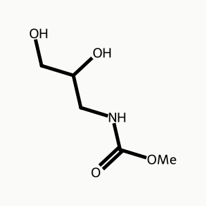 COC(=O)NCC(O)CO